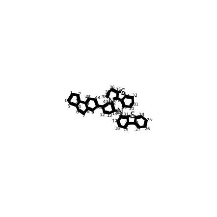 c1ccc2c(c1)ccc1cc(-c3ccc(N(c4cccc5c4sc4ccccc45)c4cccc5sc6cccnc6c45)cc3)ccc12